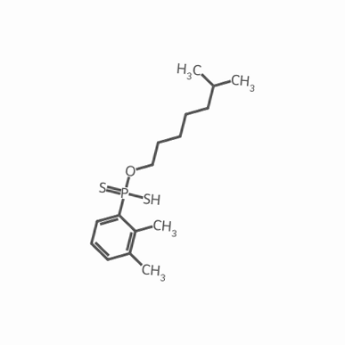 Cc1cccc(P(=S)(S)OCCCCCC(C)C)c1C